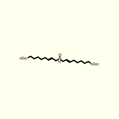 CCCCCCCCCCCCCCCC=CC[NH+]([O-])CC=CCCCCCCCCCCCCCCC